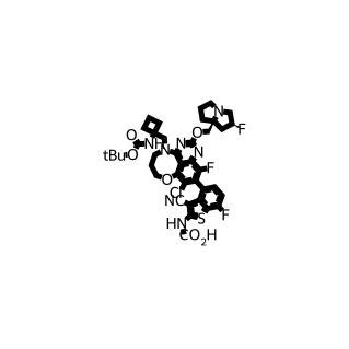 CC(C)(C)OC(=O)NC1(CN2CCCOc3c(Cl)c(-c4ccc(F)c5sc(NC(=O)O)c(C#N)c45)c(F)c4nc(OC[C@@]56CCCN5C[C@H](F)C6)nc2c34)CCC1